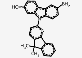 Bc1ccc2c(c1)c1ccc(O)cc1n2-c1ccc2c(n1)-c1ccccc1C2(C)C